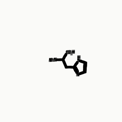 CNC(Cc1ncc[nH]1)C(=O)O